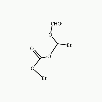 CCOC(=O)OC(CC)O[C]=O